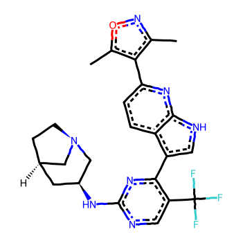 Cc1noc(C)c1-c1ccc2c(-c3nc(N[C@H]4C[C@H]5CC[N@](C5)C4)ncc3C(F)(F)F)c[nH]c2n1